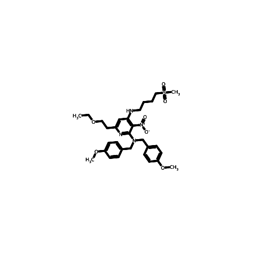 CCOCCc1cc(NCCCCS(C)(=O)=O)c([N+](=O)[O-])c(N(Cc2ccc(OC)cc2)Cc2ccc(OC)cc2)n1